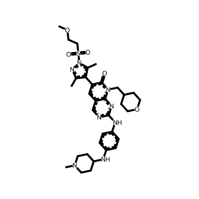 COCCS(=O)(=O)n1nc(C)c(-c2cc3cnc(Nc4ccc(NC5CCN(C)CC5)cc4)nc3n(CC3CCOCC3)c2=O)c1C